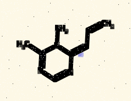 C=C/C=C1/N=CN=C(C)N1N